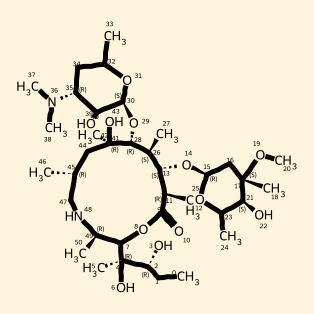 CC[C@@H](O)[C@@](C)(O)C1OC(=O)[C@H](C)[C@@H](O[C@H]2C[C@](C)(OC)[C@@H](O)C(C)O2)[C@H](C)[C@@H](O[C@@H]2OC(C)C[C@@H](N(C)C)C2O)[C@](C)(O)C[C@@H](C)CN[C@@H]1C